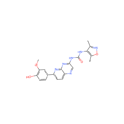 COc1cc(-c2ccc3ncc(NC(=O)Nc4c(C)noc4C)nc3n2)ccc1O